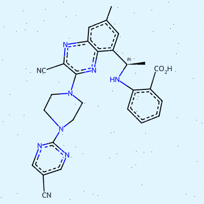 Cc1cc([C@@H](C)Nc2ccccc2C(=O)O)c2nc(N3CCN(c4ncc(C#N)cn4)CC3)c(C#N)nc2c1